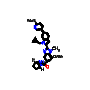 COc1cc(C(=O)N2C[C@H]3CC[C@@H]2[C@@H]3N)cc2nc(-c3cc4ccc(-c5ccc(SC)nc5)cc4n3CC3CC3)n(C)c12